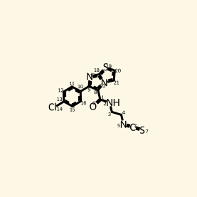 O=C(NCCN=C=S)c1c(-c2ccc(Cl)cc2)nc2sccn12